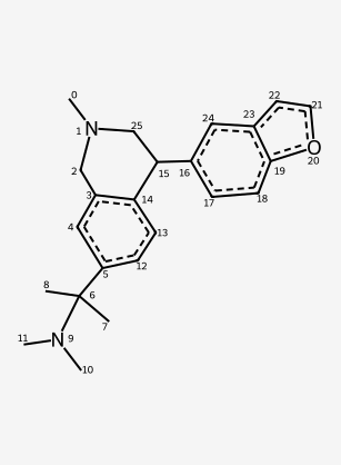 CN1Cc2cc(C(C)(C)N(C)C)ccc2C(c2ccc3occc3c2)C1